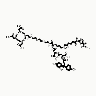 CC(CCC(=O)N[C@@H](CC(=O)N[C@@H](CC(=O)N[C@@H](CCCCn1cc(CCCC(=O)Nc2nnc(S(N)(=O)=O)s2)nn1)C(=O)NCCOCCOCCNC(=O)CN1CCN(CC(=O)O)CCN(CC(=O)O)CCN(CC(=O)O)CC1)C(=O)O)C(=O)O)(c1ccc(O)cc1)c1ccc(O)cc1